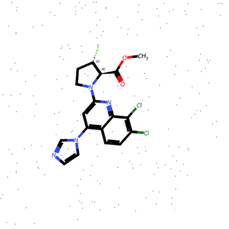 COC(=O)[C@@H]1[C@@H](F)CCN1c1cc(-n2ccnc2)c2ccc(Cl)c(Cl)c2n1